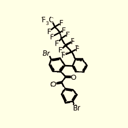 O=C(C(=O)c1ccc(Br)cc1-c1ccccc1C(F)(F)C(F)(F)C(F)(F)C(F)(F)C(F)(F)C(F)(F)F)c1ccc(Br)cc1